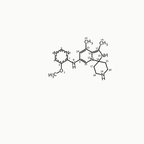 COc1cncnc1NC1=CN2C(=C(C)NC23CCNCC3)C(C)=C1